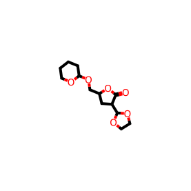 O=C1OC(COC2CCCCO2)CC1C1OCCO1